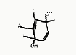 OC1(I)C=CC(O)(I)C(I)=C1I